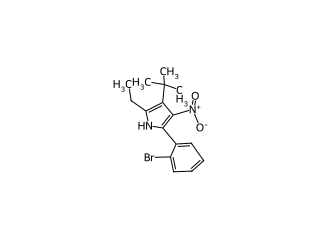 CCc1[nH]c(-c2ccccc2Br)c([N+](=O)[O-])c1C(C)(C)C